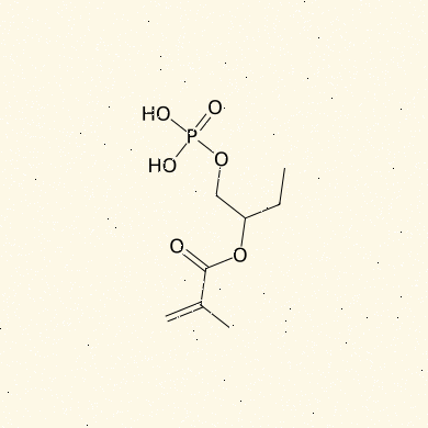 C=C(C)C(=O)OC(CC)COP(=O)(O)O